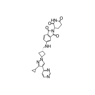 O=C1CCC(N2C(=O)c3ccc(NC[C@H]4C[C@H](n5cc(-c6ccncn6)c(C6CC6)n5)C4)cc3C2=O)C(=O)N1